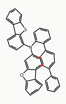 c1ccc(-c2ccc(-c3ccccc3N(c3ccc4c(c3)oc3ccccc34)c3cccc4c3sc3ccccc34)cc2)cc1